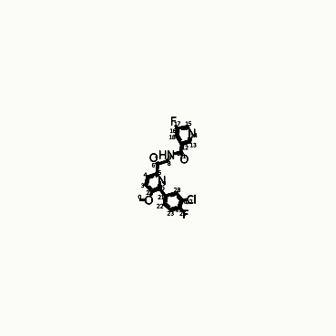 COc1ccc(C(=O)CNC(=O)c2cncc(F)c2)nc1-c1ccc(F)c(Cl)c1